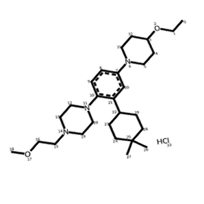 CCOC1CCN(c2ccc(N3CCN(CCOC)CC3)c(C3CCC(C)(C)CC3)c2)CC1.Cl